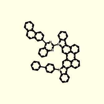 c1ccc(-c2ccc(-n3c4ccccc4c4c5cccc6c7cccc8c7c(cc7c8c8ccccc8n7-c7nc(-c8ccc9c(ccc%10ccccc%109)c8)c8ccccc8n7)c(cc43)c65)cc2)cc1